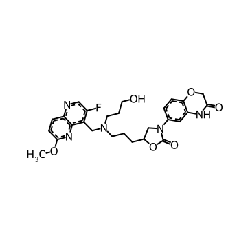 COc1ccc2ncc(F)c(CN(CCCO)CCCC3CN(c4ccc5c(c4)NC(=O)CO5)C(=O)O3)c2n1